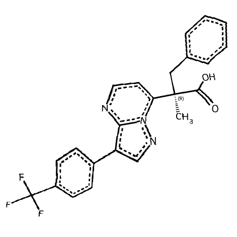 C[C@](Cc1ccccc1)(C(=O)O)c1ccnc2c(-c3ccc(C(F)(F)F)cc3)cnn12